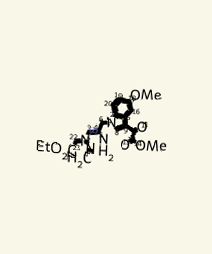 C=NN(/C=C(\N)Cn1cc(C(=O)C(=O)OC)c2cc(OC)ccc21)CC(=O)OCC